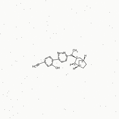 C#Cc1ccc(-c2ccc(N(C)[C@H]3C[C@@H]4CC[C@@H](C4)[C@H]3F)nn2)c(O)c1